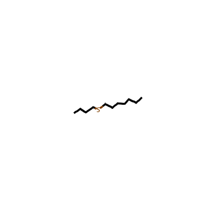 CCCCCC[CH]SCCCC